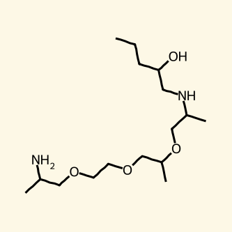 CCCC(O)CNC(C)COC(C)COCCOCC(C)N